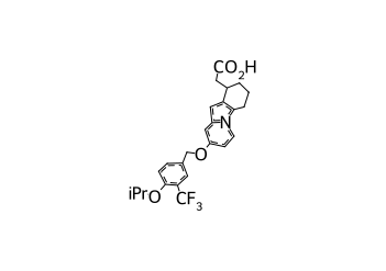 CC(C)Oc1ccc(COc2ccn3c4c(cc3c2)C(CC(=O)O)CCC4)cc1C(F)(F)F